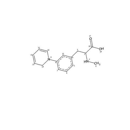 CNC(Cc1cccc(N2C=CC=CC2)c1)C(=O)O